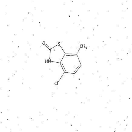 Cc1ccc(Cl)c2[nH]c(=O)sc12